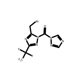 CC(C)Cc1nc(C(F)(F)C(F)(F)F)nn1C(=O)n1cncn1